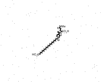 CNC(=O)CCC(NC(=O)C1CCN(C(=O)CCCCCCCCCCCCCCCCCCC(=O)O)CC1)C(=O)O